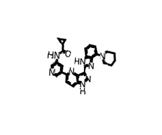 O=C(Nc1cncc(-c2ccc3[nH]nc(-c4nc5c(N6CCCCC6)cccc5[nH]4)c3n2)c1)C1CC1